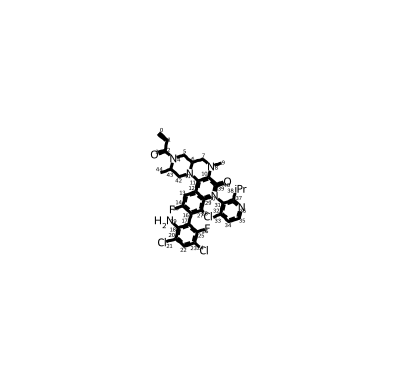 C=CC(=O)N1CC2CN(C)c3c(c4cc(F)c(-c5c(N)c(Cl)cc(Cl)c5F)c(Cl)c4n(-c4c(C)ccnc4C(C)C)c3=O)N2CC1C